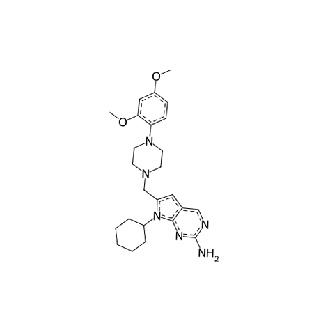 COc1ccc(N2CCN(Cc3cc4cnc(N)nc4n3C3CCCCC3)CC2)c(OC)c1